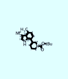 Cc1ccc(C2=CCCN(C(=O)OC(C)(C)C)C2)c2[nH]cc(C#N)c12